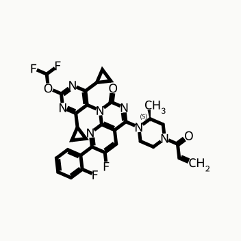 C=CC(=O)N1CCN(c2nc(=O)n(-c3c(C4CC4)nc(OC(F)F)nc3C3CC3)c3nc(-c4ccccc4F)c(F)cc23)[C@@H](C)C1